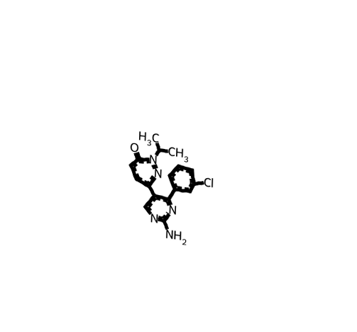 CC(C)n1nc(-c2cnc(N)nc2-c2cccc(Cl)c2)ccc1=O